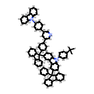 CC(C)(C)c1ccc(-n2c3ccc(C4(c5ccccc5)c5ccccc5-c5ccccc54)cc3c3cc(C4(c5ccc(-c6cncc(-c7ccc(-n8c9ccccc9c9ccccc98)cc7)c6)cc5)c5ccccc5-c5ccccc54)ccc32)cc1